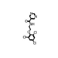 O=C(NCCOc1c(Cl)cc(Cl)cc1Cl)c1cncnc1